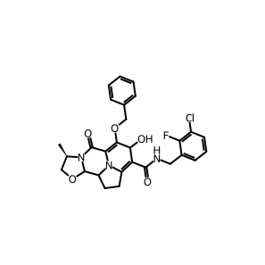 C[C@@H]1COC2C3CCC4=C(C(=O)NCc5cccc(Cl)c5F)C(O)C(OCc5ccccc5)=C(C(=O)N21)N43